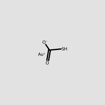 O=C([O-])S.[Au+]